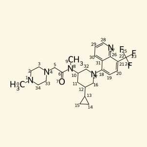 CN1CCN(CC(=O)N(C)C2CC(C3CC3)CN(c3ccc(C(F)(F)F)c4ncccc34)C2)CC1